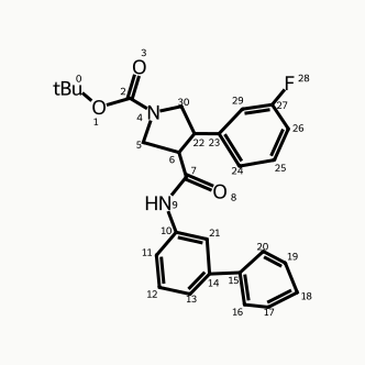 CC(C)(C)OC(=O)N1CC(C(=O)Nc2cccc(-c3ccccc3)c2)C(c2cccc(F)c2)C1